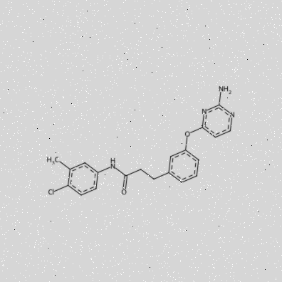 Cc1cc(NC(=O)CCc2cccc(Oc3ccnc(N)n3)c2)ccc1Cl